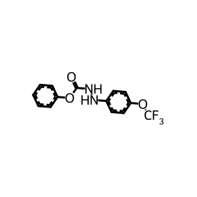 O=C(NNc1ccc(OC(F)(F)F)cc1)Oc1ccccc1